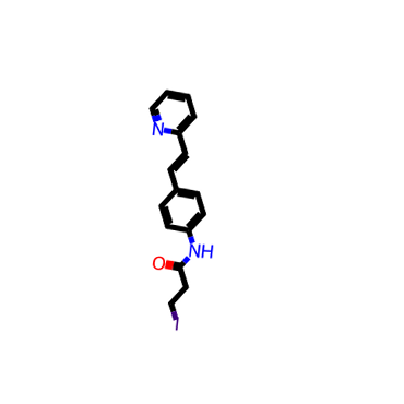 O=C(CCI)Nc1ccc(C=Cc2ccccn2)cc1